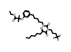 CCCCCCc1nn(CCCCCc2cccc(OC(C)(C)C(=O)OCC)c2)c(=O)n(CCCC(F)(F)F)c1=O